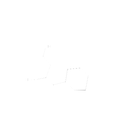 O=C(O)C(CCO)CC1CCCCC1